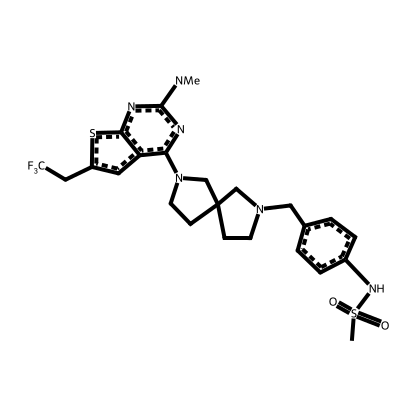 CNc1nc(N2CCC3(CCN(Cc4ccc(NS(C)(=O)=O)cc4)C3)C2)c2cc(CC(F)(F)F)sc2n1